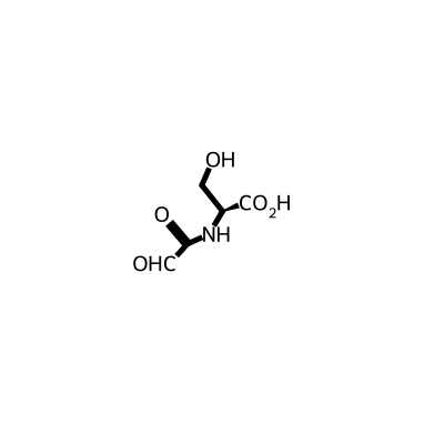 O=CC(=O)N[C@@H](CO)C(=O)O